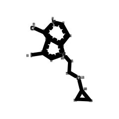 Clc1nccc2c1c(I)cn2CCOC1CC1